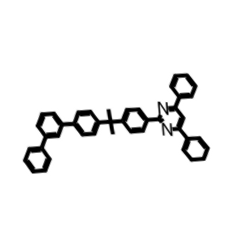 CC(C)(c1ccc(-c2cccc(-c3ccccc3)c2)cc1)c1ccc(-c2nc(C3=CCCC=C3)cc(-c3ccccc3)n2)cc1